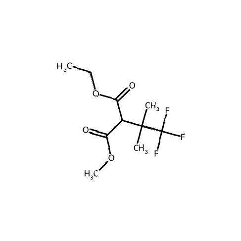 CCOC(=O)C(C(=O)OC)C(C)(C)C(F)(F)F